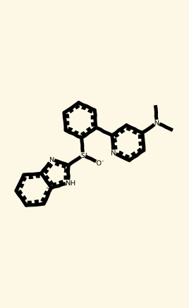 CN(C)c1ccnc(-c2ccccc2[S+]([O-])c2nc3ccccc3[nH]2)c1